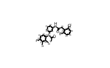 CC(=O)N(c1cc(NC(=O)Cc2c(F)cccc2Cl)ccn1)c1ccc(F)c(C)c1C